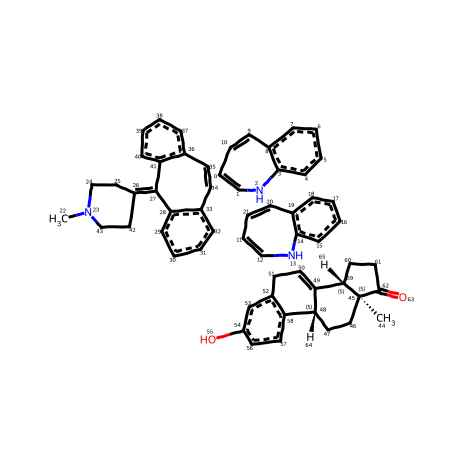 C1=CNc2ccccc2C=C1.C1=CNc2ccccc2C=C1.CN1CCC(=C2c3ccccc3C=Cc3ccccc32)CC1.C[C@]12CC[C@H]3C(=CCc4cc(O)ccc43)[C@@H]1CCC2=O